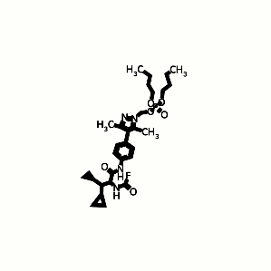 CCCCOP(=O)(OCCCC)OCn1nc(C)c(-c2ccc(NC(=O)C(NC(=O)F)C(C3CC3)C3CC3)cc2)c1C